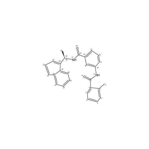 Cc1ccccc1C(=O)Nc1cccc(C(=O)N[C@H](C)c2cccc3ccccc23)c1